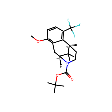 COc1ccc(C(F)(F)F)c2c1C[C@H]1N(C(=O)OC(C)(C)C)CC[C@]2(C)C1(C)C